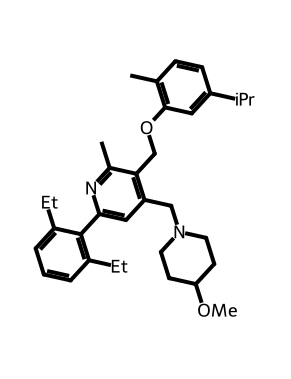 CCc1cccc(CC)c1-c1cc(CN2CCC(OC)CC2)c(COc2cc(C(C)C)ccc2C)c(C)n1